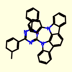 CC1C=C(c2nc(-c3ccccc3)nc(-n3c4ccccc4c4ccc5c6ccccc6n(-c6ccccc6)c5c43)n2)C=CC1